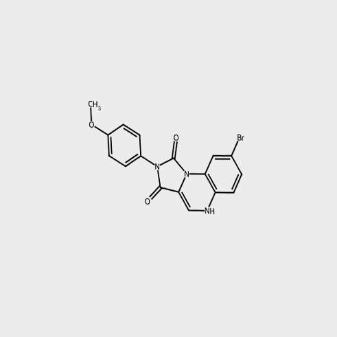 COc1ccc(-n2c(=O)c3c[nH]c4ccc(Br)cc4n-3c2=O)cc1